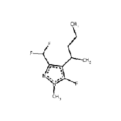 CCCC(C)c1c(C(F)F)nn(C)c1F